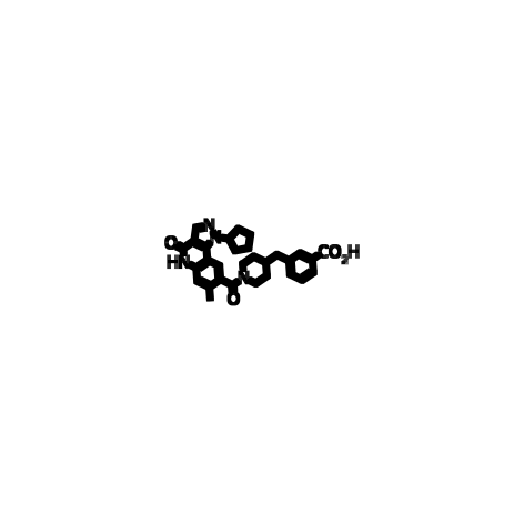 Cc1cc2[nH]c(=O)c3cnn(C4CCCC4)c3c2cc1C(=O)N1CCC(Cc2cccc(C(=O)O)c2)CC1